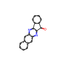 O=C1c2ccccc2-c2nc3cc4ccccc4cc3nc21